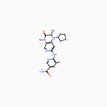 CC[C@@H]1C(=O)N(C)c2cnc(Nc3ncc(C(N)=O)cc3C)cc2N1C1CCCC1